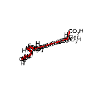 CCCCCCCCCCC[C@](CCCCCCCCCCC(=O)O)(C(=O)O)C(=O)NCCOCCOCCOCCOCCOCCOCCOCCOCCOCCOCCOCCOCCC(=O)NCC(=O)OC(C)(C)c1ccc(C(=O)Nc2cc(F)cc(-c3ncnc4[nH]c(-c5ccc(CN6CCC(OC7CCN(CCn8cccc(CN9CCC(=O)NC9=O)c8=O)CC7)CC6)cc5)cc34)c2C)c(F)c1